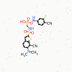 CN(C)c1ccc2cc(S(=O)(=O)NCP(=O)(O)ONc3ccc(C#N)c(F)c3)sc2c1C#N